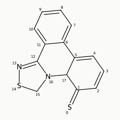 S=C1C=CC=C2c3ccccc3C3=NSCN3C12